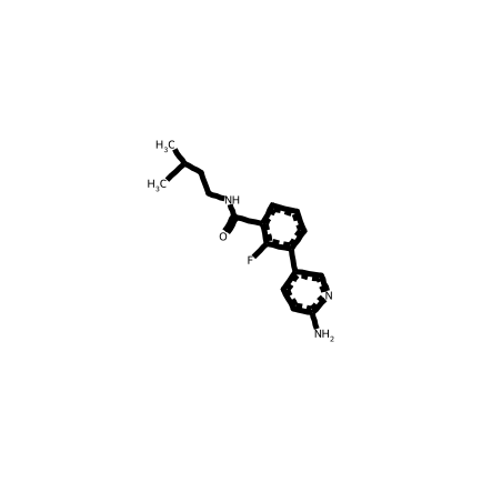 CC(C)CCNC(=O)c1cccc(-c2ccc(N)nc2)c1F